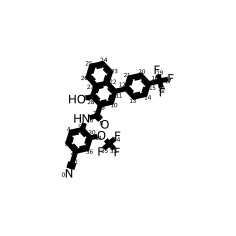 N#Cc1ccc(NC(=O)c2cc(-c3ccc(C(F)(F)F)cc3)c3ccccc3c2O)c(OC(F)(F)F)c1